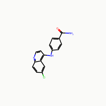 NC(=O)c1ccc(Nc2ccnc3ccc(Cl)cc23)cc1